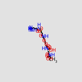 CCC(NC(=O)CC[C@H](NC(=O)COCCOCCNC(=O)CCCS(=O)(=O)NC(=O)CCCc1nnn[nH]1)C(=O)O)C(=O)O